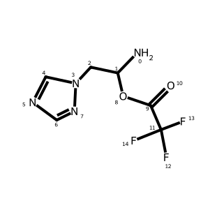 NC(Cn1cncn1)OC(=O)C(F)(F)F